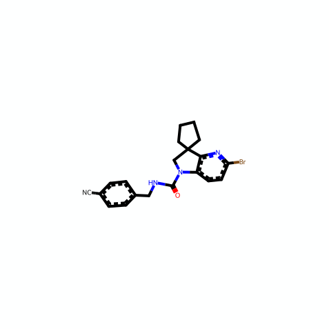 N#Cc1ccc(CNC(=O)N2CC3(CCCC3)c3nc(Br)ccc32)cc1